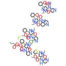 CCCC(=O)OCOC(=O)c1c(-c2ccc(F)cc2)nn(CC)c(=O)c1Nc1cccnc1.CCOC(=O)c1c(-c2ccccc2)nn(CC)c(=O)c1Nc1cccnc1Cl.CCOC(=O)c1c(-c2cccs2)nn(CC)c(=O)c1Nc1cccnc1.CCn1nc(-c2ccccc2)c(C(=O)OC)c(Nc2cccc3ncccc23)c1=O.CCn1nc(-c2ccccc2)c(C(=O)OC)c(Nc2cccnc2)c1=O